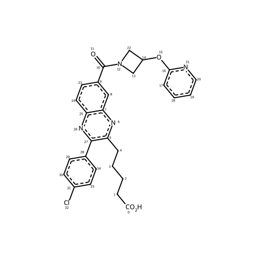 O=C(O)CCCCc1nc2cc(C(=O)N3CC(Oc4ccccn4)C3)ccc2nc1-c1ccc(Cl)cc1